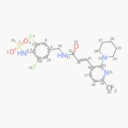 CS(=O)(=O)Nc1c(F)cc(CNC(=O)/C=C/c2ccc(C(F)(F)F)nc2N2CCCCC2)cc1F